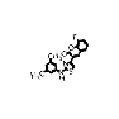 Cc1cc(C)cc(Nc2nc(-c3cc4cccc(F)c4oc3=O)cs2)c1